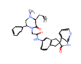 CC(C)CC1C(=O)N(CC(=O)Nc2ccc3c(c2)CC2(C3)C(=O)Nc3ncccc32)C(c2ccccc2)CN1C